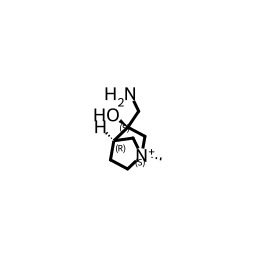 C[N@+]12CC[C@H](C1)[C@](O)(CN)C2